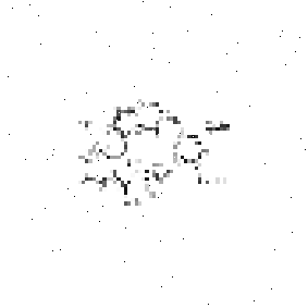 COc1cc(C(=O)O)c(F)cc1Nc1ncc2cc(C(F)F)n(Cc3nccnc3N(C)S(C)(=O)=O)c2n1